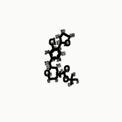 CC(C)(C)OC(=O)N1CCOC(Cc2ccc(C3CCCO3)c(Cl)c2)C1